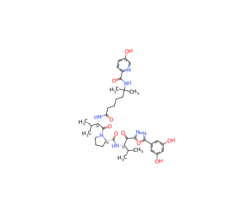 CC(C)[C@H](NC(=O)[C@@H]1CCCN1C(=O)[C@@H](NC(=O)CCCCC(C)(C)NC(=O)c1ccc(O)cn1)C(C)C)C(=O)c1nnc(-c2cc(O)cc(O)c2)o1